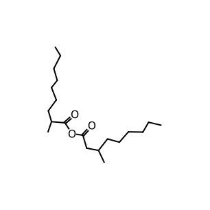 CCCCCCCC(C)C(=O)OC(=O)CC(C)CCCCCC